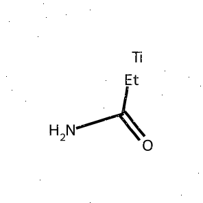 CCC(N)=O.[Ti]